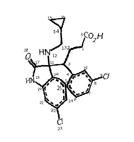 O=C(O)CCC(c1cccc(Cl)c1)C1(NCC2CC2)C(=O)Nc2cc(Cl)ccc21